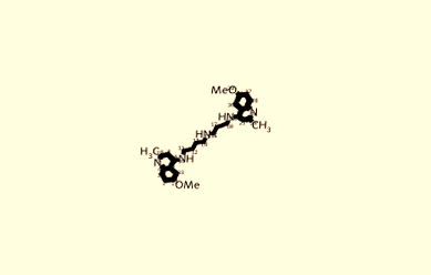 COc1ccc2nc(C)cc(NCCCCNCCCNc3cc(C)nc4ccc(OC)cc34)c2c1